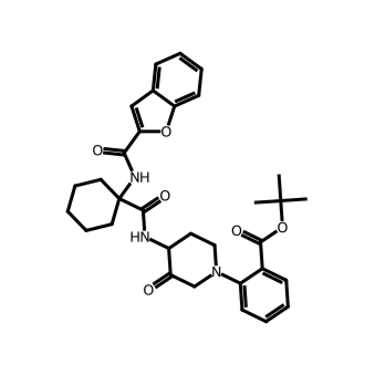 CC(C)(C)OC(=O)c1ccccc1N1CCC(NC(=O)C2(NC(=O)c3cc4ccccc4o3)CCCCC2)C(=O)C1